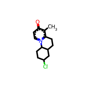 Cc1c2n(ccc1=O)C1CCC(Cl)CC1CC2